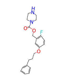 O=C(OCc1cc(OCCCc2ccccc2)ccc1F)N1CCNCC1